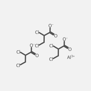 O=C([O-])C(Cl)CCl.O=C([O-])C(Cl)CCl.O=C([O-])C(Cl)CCl.[Al+3]